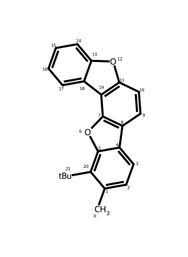 Cc1ccc2c(oc3c2ccc2oc4ccccc4c23)c1C(C)(C)C